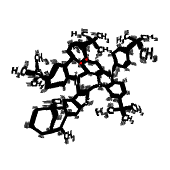 Cc1cc2c3c(c1)N(c1ccc([Si](C)(C)C)cc1-c1ccc(C(C)(C)C)cc1)c1c(sc4cc5c(cc14)C1(C)CCCC(C1)C5C)B3c1cc(C(C)(C)C)ccc1N2c1ccc(C(C)(C)C)cc1